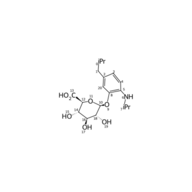 CC(C)Cc1ccc(NC(C)C)c(O[C@@H]2O[C@H](C(=O)O)[C@@H](O)[C@H](O)[C@H]2O)c1